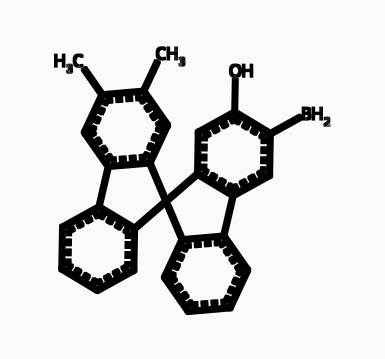 Bc1cc2c(cc1O)C1(c3ccccc3-c3cc(C)c(C)cc31)c1ccccc1-2